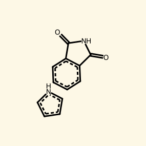 O=C1NC(=O)c2ccccc21.c1cc[nH]c1